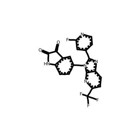 O=C1Nc2ccc(-n3c(-c4ccnc(F)c4)nc4ccc(C(F)(F)F)nc43)cc2C1=O